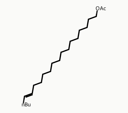 CCCCC=CCCCCCCCCCCCCCCOC(C)=O